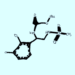 CC(C)(C)OC(=O)NC(CNS(C)(=O)=O)c1cccc(Cl)c1Cl